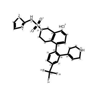 Cl.O=S(=O)(Nc1nccs1)N1CCc2c(cccc2-c2ccc(C(F)(F)F)cc2C2=CCNCC2)C1